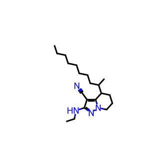 CCCCCCCCC(C)C1CCCn2nc(NCC)c(C#N)c21